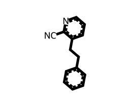 N#Cc1ncccc1CCc1ccccc1